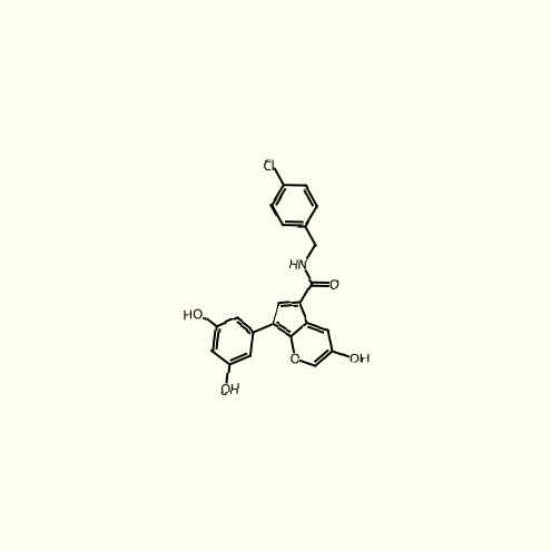 O=C(NCc1ccc(Cl)cc1)c1cc(-c2cc(O)cc(O)c2)c2occ(O)cc1-2